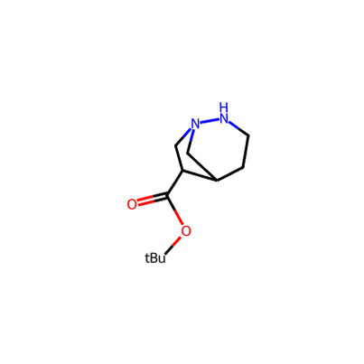 CC(C)(C)OC(=O)C1CN2CC1CCN2